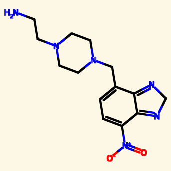 NCCN1CCN(Cc2ccc([N+](=O)[O-])c3c2=NCN=3)CC1